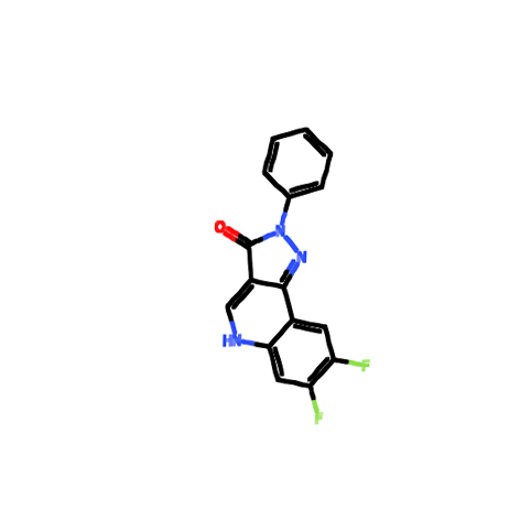 O=c1c2c[nH]c3cc(F)c(F)cc3c-2nn1-c1ccccc1